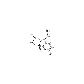 CCN1CCC(O)(c2cc(F)ccc2CCO)CC1